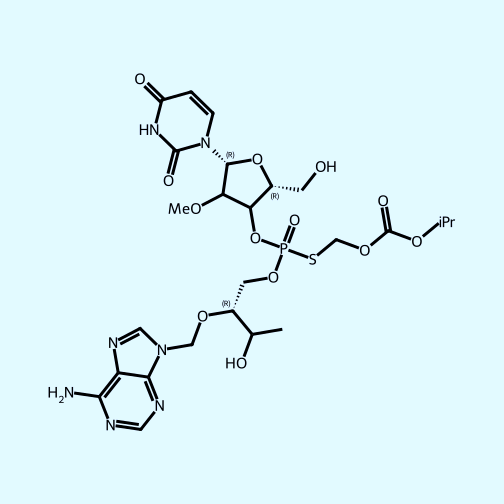 COC1C(OP(=O)(OC[C@@H](OCn2cnc3c(N)ncnc32)C(C)O)SCOC(=O)OC(C)C)[C@@H](CO)O[C@H]1n1ccc(=O)[nH]c1=O